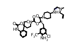 C=CCN(C)/C=C\NC1CCN(C(=O)[C@@H](Cc2cc(Cl)c(N)c(C(F)(F)F)c2)OC(=O)N2CCC3(CC2)OC(=O)Nc2ccccc23)CC1